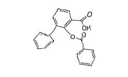 O=C(Oc1c(C(=O)O)cccc1-c1ccccc1)c1ccccc1